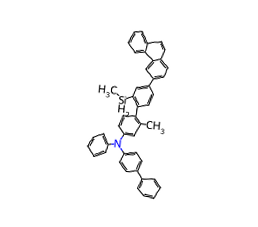 C[SiH2]c1cc(-c2ccc3ccc4ccccc4c3c2)ccc1-c1ccc(N(c2ccccc2)c2ccc(-c3ccccc3)cc2)cc1C